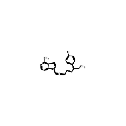 CCC(CCC=C=Cn1ccc2c(N)cccc21)c1ccc(Cl)cc1